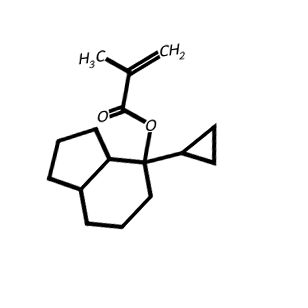 C=C(C)C(=O)OC1(C2CC2)CCCC2CCCC21